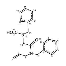 C=CCN(Cc1ccccc1)C(=O)CN(Cc1ccccc1)C(=O)O